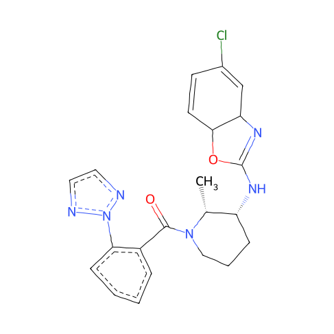 C[C@@H]1[C@H](NC2=NC3C=C(Cl)C=CC3O2)CCCN1C(=O)c1ccccc1-n1nccn1